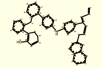 C=C/C=C(\C=C/Cc1ccc2ccccc2c1)c1ccc(Nc2ccc(-c3ccccc3Cc3ccccc3C3=C(O)C=CCC3)cc2)cc1